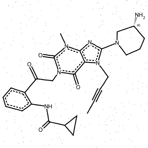 CC#CCn1c(N2CCC[C@@H](N)C2)nc2c1c(=O)n(CC(=O)c1ccccc1NC(=O)C1CC1)c(=O)n2C